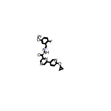 CC(C)Oc1ccc(F)c(/C=N/NC(=O)c2cncc(-c3ccc(OC4CC4)nc3)n2)c1